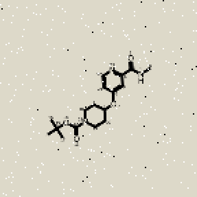 CNC(=O)c1cc(OC2CCN(C(=O)OC(C)(C)C)CC2)ccn1